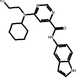 COCCN(c1cc(C(=O)Nc2ccc3[nH]ccc3c2)ncn1)C1CCCCC1